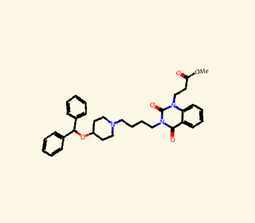 COC(=O)CCn1c(=O)n(CCCCN2CCC(OC(c3ccccc3)c3ccccc3)CC2)c(=O)c2ccccc21